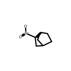 O=[N+]([O-])C1=C2CCC(C2)C1